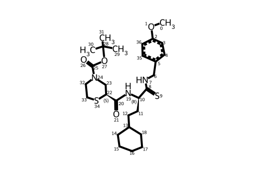 COc1ccc(CNC(=S)[C@@H](CCC2CCCCC2)NC(=O)[C@@H]2CN(C(=O)OC(C)(C)C)CCS2)cc1